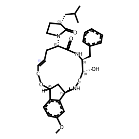 COc1ccc2c(c1)[C@@H]1C[C@H]2OC/C=C/C[C@H](N2CC[C@H](CC(C)C)C2=O)C(=O)N[C@@H](Cc2ccccc2)[C@H](O)CN1